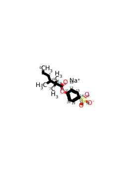 CCCC(C)C(C)(C)C(=O)Oc1ccc(S(=O)(=O)[O-])cc1.[Na+]